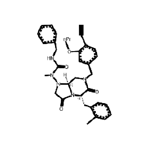 C#Cc1ccc(CN2C[C@H]3N(C(=O)CN3N(C)C(=O)NCc3ccccc3)[C@@H](Cc3ccccc3C)C2=O)cc1OCCC